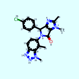 CCn1c(C)nc2c1C(=O)N(c1ccc3nnn(C)c3c1C)C2c1ccc(Cl)cc1